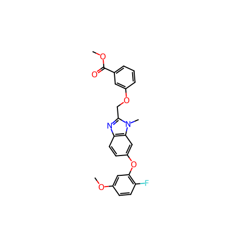 COC(=O)c1cccc(OCc2nc3ccc(Oc4cc(OC)ccc4F)cc3n2C)c1